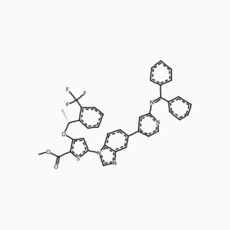 COC(=O)c1sc(-n2cnc3cc(-c4ccnc(N=C(c5ccccc5)c5ccccc5)c4)ccc32)cc1O[C@H](C)c1ccccc1C(F)(F)F